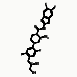 C[C@H]1CN(c2cc(F)c(C[C@@H](O)CO)cc2F)CCN1C(=O)Nc1nc2cc(F)c(F)cc2s1